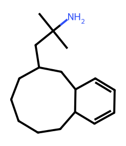 CC(C)(N)CC1CCCCCC2C=CC=CC2C1